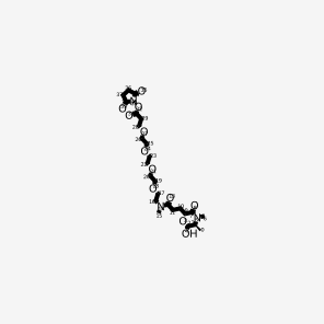 C[C@@H](C(=O)O)N(C)C(=O)CCCC(=O)N(C)CCOCCOCCOCCOCCC(=O)ON1C(=O)CCC1=O